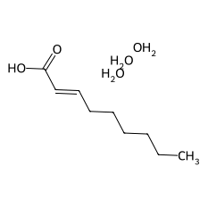 CCCCCCC=CC(=O)O.O.O.O